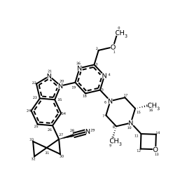 COCc1nc(N2C[C@@H](C)N(C3COC3)[C@@H](C)C2)cc(-n2ncc3ccc([C@]4(C#N)CC45CC5)cc32)n1